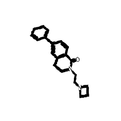 O=C1c2ccc(-c3ccccc3)cc2CCN1CCN1CCC1